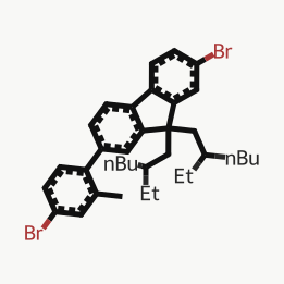 CCCCC(CC)CC1(CC(CC)CCCC)c2cc(Br)ccc2-c2ccc(-c3ccc(Br)cc3C)cc21